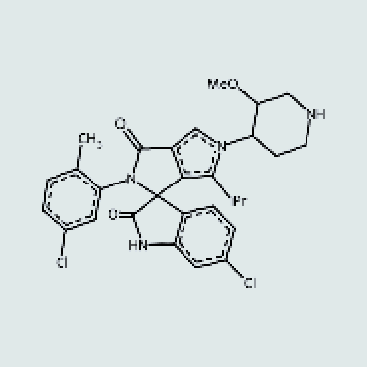 COC1CNCCC1n1cc2c(c1C(C)C)C1(C(=O)Nc3cc(Cl)ccc31)N(c1cc(Cl)ccc1C)C2=O